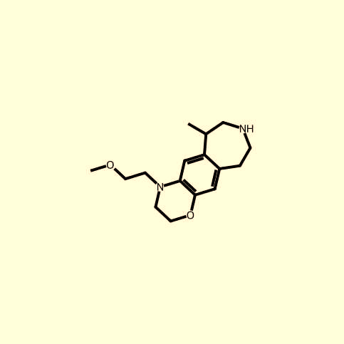 COCCN1CCOc2cc3c(cc21)C(C)CNCC3